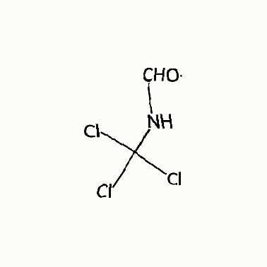 O=[C]NC(Cl)(Cl)Cl